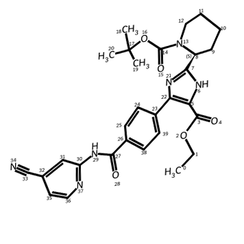 CCOC(=O)c1[nH]c([C@@H]2CCCCN2C(=O)OC(C)(C)C)nc1-c1ccc(C(=O)Nc2cc(C#N)ccn2)cc1